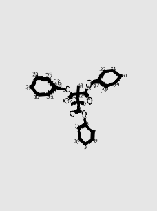 CC(C)(C(=O)OC1CCCCC1)C(C)(C(=O)OC1CCCCC1)C(=O)OC1CCCCC1